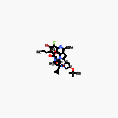 CSc1nc2c(F)c(Br)c(CCC#N)cc2c2c1cc([C@H]1C[C@H](O[Si](C)(C)C(C)(C)C)CN1C(=O)C1CC1)n2[C@H]1[C@@H]2C[C@H]1N(C(=O)OC(C)(C)C)C2